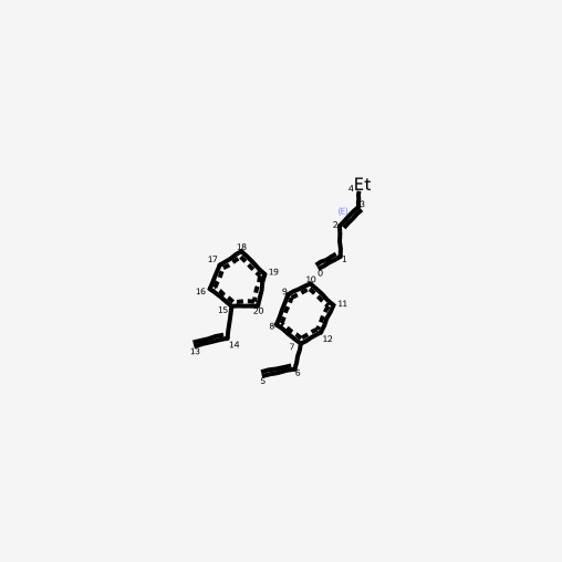 C=C/C=C/CC.C=Cc1ccccc1.C=Cc1ccccc1